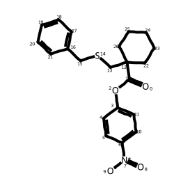 O=C(Oc1ccc([N+](=O)[O-])cc1)C1(CSCc2ccccc2)CCCCC1